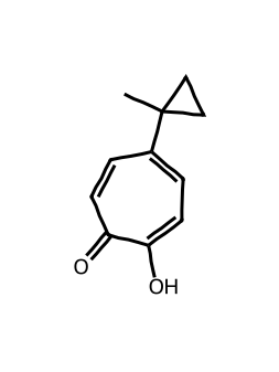 CC1(c2ccc(O)c(=O)cc2)CC1